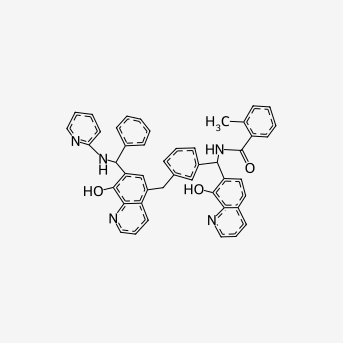 Cc1ccccc1C(=O)NC(c1cccc(Cc2cc(C(Nc3ccccn3)c3ccccc3)c(O)c3ncccc23)c1)c1ccc2cccnc2c1O